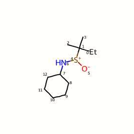 CCC(C)(C)[S+]([O-])NC1CCCCC1